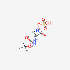 CC(C)(C)OC(=O)NC1CN(OS(=O)(=O)O)C1=O